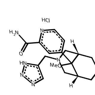 COC1(c2ccnc(C(N)=O)c2)[C@@H]2CCC[C@H]1CN(Cc1cnn[nH]1)C2.Cl